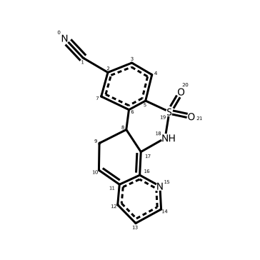 N#Cc1ccc2c(c1)C1CC=c3cccnc3=C1NS2(=O)=O